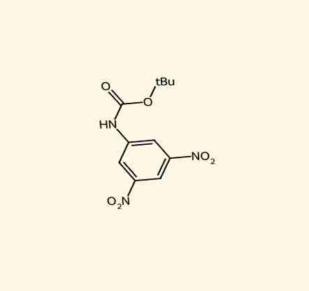 CC(C)(C)OC(=O)Nc1cc([N+](=O)[O-])cc([N+](=O)[O-])c1